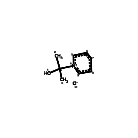 CC(C)(O)[n+]1ccccc1.[Cl-]